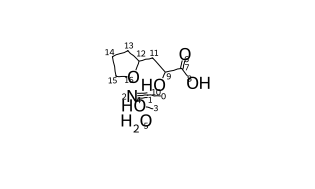 CC#N.CO.O.O=C(O)C(O)CC1CCCO1